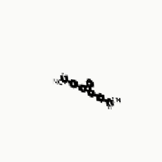 N#Cc1cncc(-c2ccc(-c3ccc4c5ccc(-c6ccc(-c7cncc(C#N)c7)cc6)cc5c5ccccc5c4c3)cc2)c1